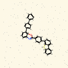 c1ccc(-c2ccc(-c3cccc4nc(-c5ccc(-c6cccc7c6sc6ccccc67)cc5)oc34)cc2)cc1